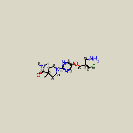 CN(C)C(=O)C1(C)CCN(c2ncc(OC/C(=C/F)CN)cn2)CC1